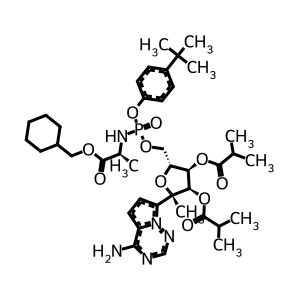 CC(C)C(=O)O[C@H]1[C@@H](OC(=O)C(C)C)[C@](C)(c2ccc3c(N)ncnn23)O[C@@H]1COP(=O)(N[C@@H](C)C(=O)OCC1CCCCC1)Oc1ccc(C(C)(C)C)cc1